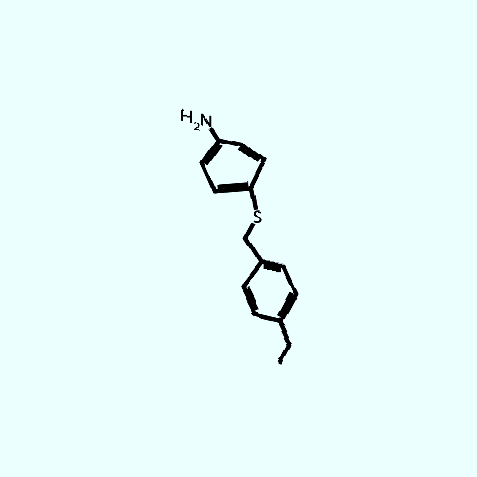 CCc1ccc(CSc2ccc(N)cc2)cc1